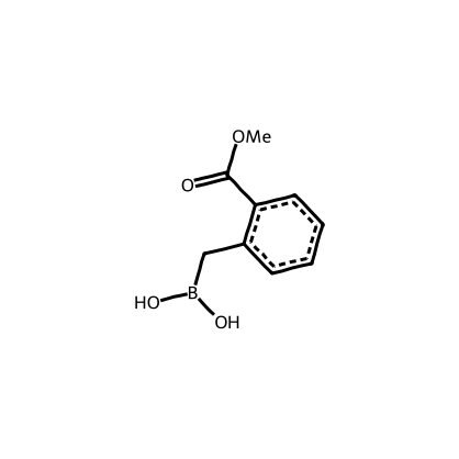 COC(=O)c1ccccc1CB(O)O